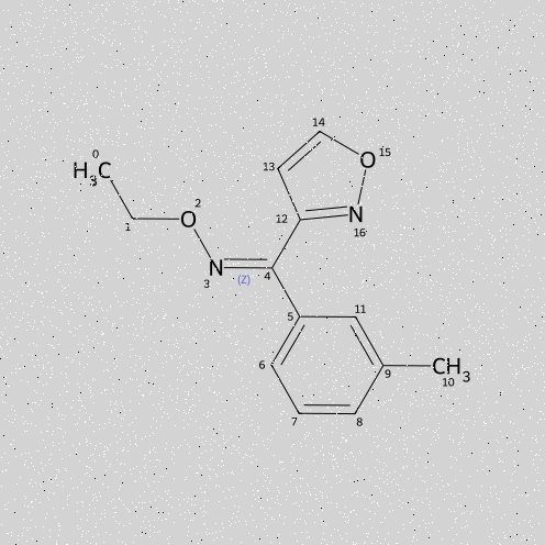 CCO/N=C(/c1cccc(C)c1)c1ccon1